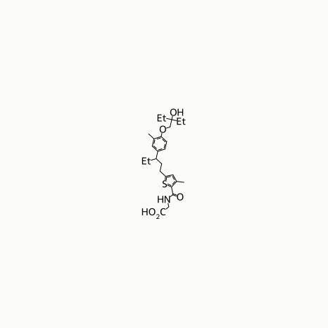 CCC(CCc1cc(C)c(C(=O)NCC(=O)O)s1)c1ccc(OCC(O)(CC)CC)c(C)c1